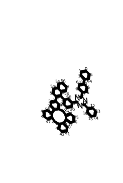 c1ccc(-c2ccc(-c3nc(-c4ccccc4)nc(-c4cccc(-c5c(-c6ccc7c(c6)Cc6ccccc6-c6ccccc6Cc6ccccc6-7)ccc6ccccc56)c4)n3)cc2)cc1